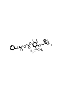 Cc1cc(OCCN(C)C)c(C(C)C)cc1OC(=O)COCC(=O)OCc1ccccc1